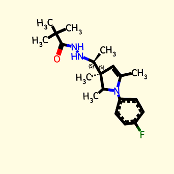 CC1=C[C@](C)([C@H](C)NNC(=O)C(C)(C)C)C(C)N1c1ccc(F)cc1